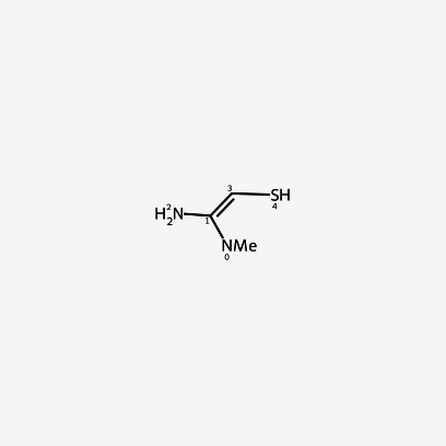 CN/C(N)=C\S